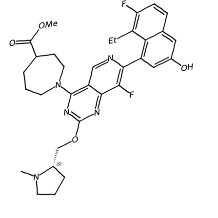 CCc1c(F)ccc2cc(O)cc(-c3ncc4c(N5CCCC(C(=O)OC)CC5)nc(OC[C@@H]5CCCN5C)nc4c3F)c12